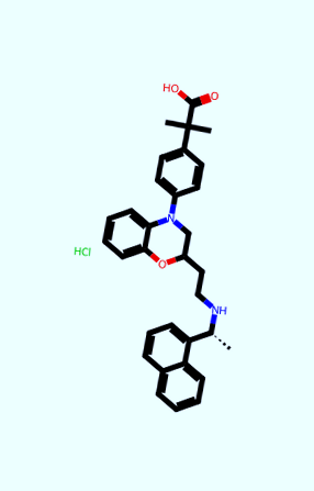 C[C@@H](NCCC1CN(c2ccc(C(C)(C)C(=O)O)cc2)c2ccccc2O1)c1cccc2ccccc12.Cl